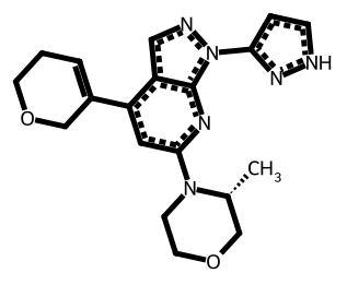 C[C@@H]1COCCN1c1cc(C2=CCCOC2)c2cnn(-c3cc[nH]n3)c2n1